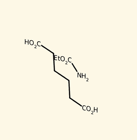 CCOC(N)=O.O=C(O)CCCCC(=O)O